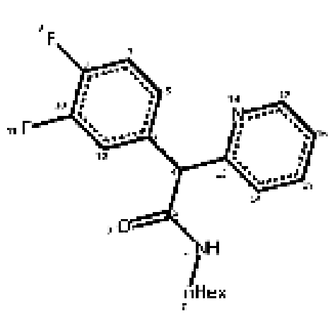 CCCCCCNC(=O)C(c1ccc(F)c(F)c1)c1ccccn1